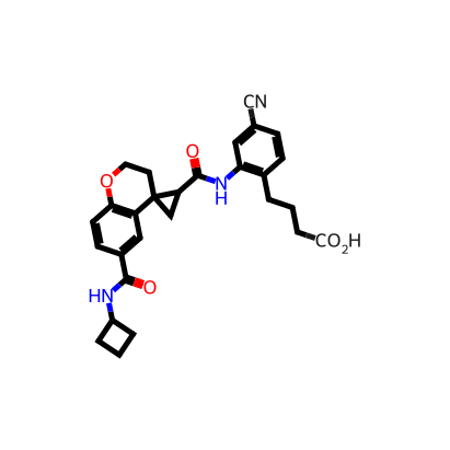 N#Cc1ccc(CCCC(=O)O)c(NC(=O)C2CC23CCOc2ccc(C(=O)NC4CCC4)cc23)c1